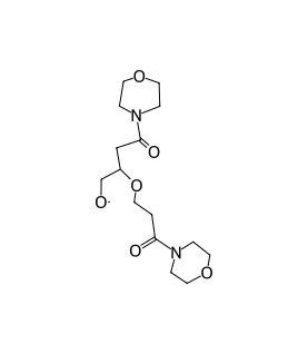 [O]CC(CC(=O)N1CCOCC1)OCCC(=O)N1CCOCC1